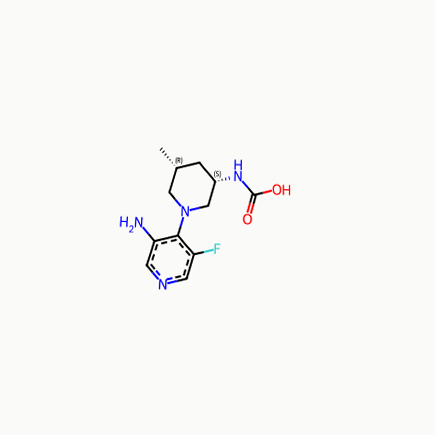 C[C@@H]1C[C@H](NC(=O)O)CN(c2c(N)cncc2F)C1